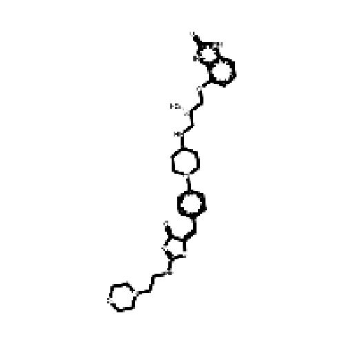 O=C1N=C(NCCN2CCOCC2)SC1=Cc1ccc(N2CCC(NC[C@H](O)COc3cccc4[nH]c(=O)[nH]c34)CC2)cc1